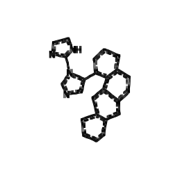 c1ccc2cc3c(ccc4cccc(-c5cncn5-c5ncc[nH]5)c43)cc2c1